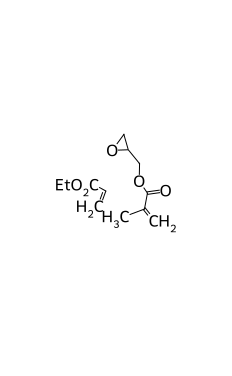 C=C(C)C(=O)OCC1CO1.C=CC(=O)OCC